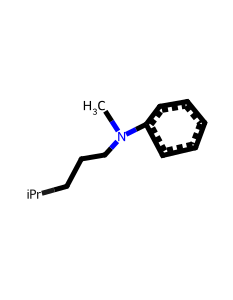 CC(C)CCCN(C)c1ccccc1